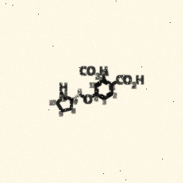 O=C(O)c1ccc(OC[C@@H]2CCCN2)cc1C(=O)O